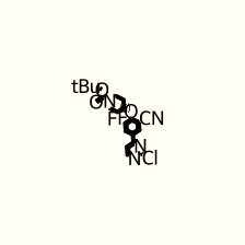 CC(C)(C)OC(=O)N1CC[C@H](Oc2ccc(-c3ccnc(Cl)n3)cc2C#N)C(F)(F)C1